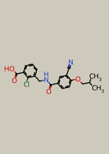 CC(C)COc1ccc(C(=O)NCc2cccc(C(=O)O)c2Cl)cc1C#N